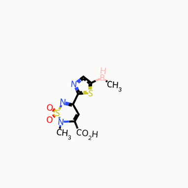 CBc1cnc(C2=NS(=O)(=O)N(C)C(C(=O)O)=C2)s1